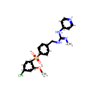 C/N=C(\NCc1ccc(S(=O)(=O)c2ccc(Cl)cc2OC)cc1)Nc1ccncc1